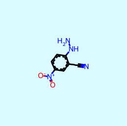 N#Cc1cc([N+](=O)[O-])ccc1NN